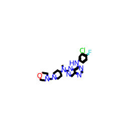 CN(c1ncc2ncnc(Nc3ccc(F)c(Cl)c3)c2n1)C1CCN(CN2CCOCC2)CC1